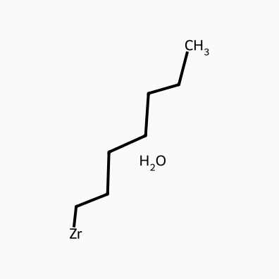 CCCCCC[CH2][Zr].O